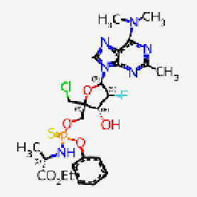 CCOC(=O)[C@H](C)NP(=S)(OC[C@@]1(CCl)O[C@@H](n2cnc3c(N(C)C)nc(C)nc32)[C@@H](F)[C@@H]1O)Oc1ccccc1